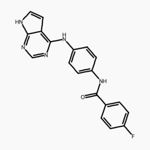 O=C(Nc1ccc(Nc2ncnc3[nH]ccc23)cc1)c1ccc(F)cc1